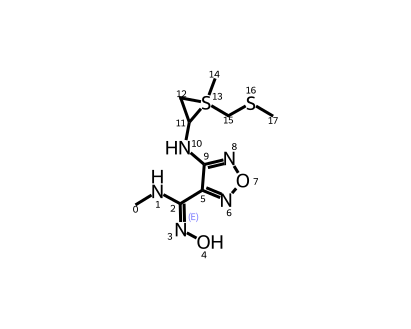 CN/C(=N/O)c1nonc1NC1CS1(C)CSC